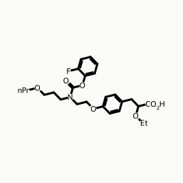 CCCOCCCN(CCOc1ccc(CC(OCC)C(=O)O)cc1)C(=O)Oc1ccccc1F